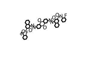 COc1c(CON(C)c2ccccc2F)cc2ccccc2c1N=Nc1ccc2c(c1)C(=O)c1ccc(N=Nc3c(OC)c(C(=O)N(C)c4ccccc4F)cc4ccccc34)cc1C2=O